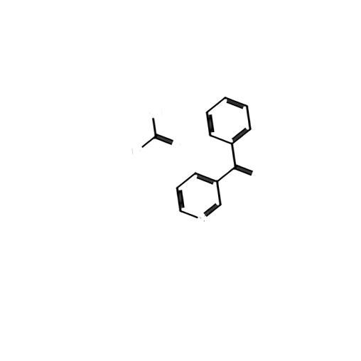 O=C(O)O.O=C(c1ccccc1)c1cccnc1